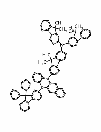 CC1(C)c2ccccc2-c2ccc(N(c3ccc4c(c3)C(C)(C)c3ccccc3-4)c3ccc4c(c3)C(C)(C)c3cc(-c5c6ccccc6c(-c6ccc7c(c6)C(c6ccccc6)(c6ccccc6)c6ccccc6-7)c6cc7ccccc7cc56)ccc3-4)cc21